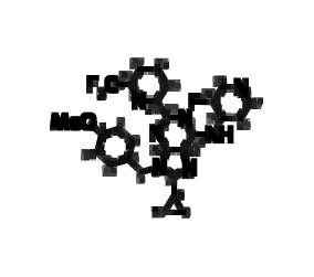 COc1ccc(Cn2c(C3CC3)nc3c(Nc4ccncc4F)nc(-c4cccc(C(F)(F)F)n4)nc32)cc1